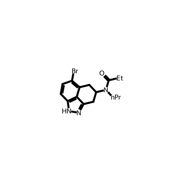 CCCN(C(=O)CC)C1Cc2n[nH]c3ccc(Br)c(c23)C1